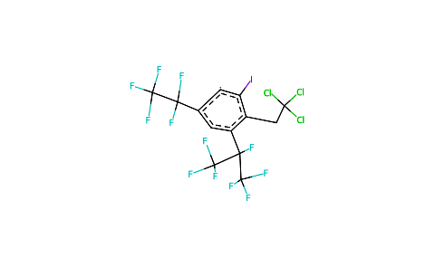 FC(F)(F)C(F)(F)c1[c]c(I)c(CC(Cl)(Cl)Cl)c(C(F)(C(F)(F)F)C(F)(F)F)c1